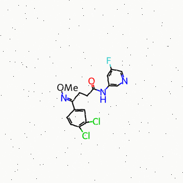 CO/N=C(\CCC(=O)Nc1cncc(F)c1)c1ccc(Cl)c(Cl)c1